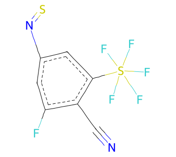 N#Cc1c(F)cc(N=S)cc1S(F)(F)(F)(F)F